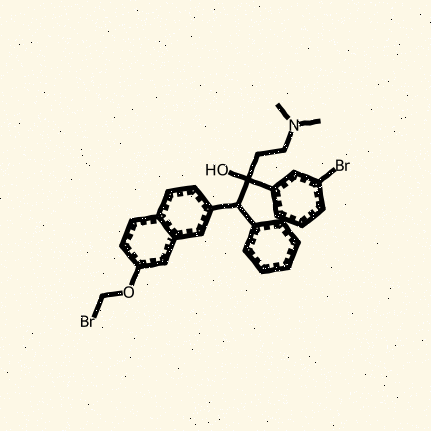 CN(C)CCC(O)(c1cccc(Br)c1)C(c1ccccc1)c1ccc2ccc(OCBr)cc2c1